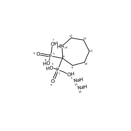 O=P(O)(O)C1(P(=O)(O)O)CCCCCN1.[NaH].[NaH]